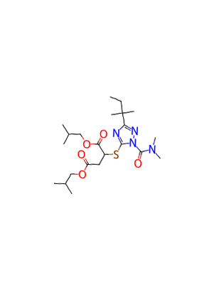 CCC(C)(C)c1nc(SC(CC(=O)OCC(C)C)C(=O)OCC(C)C)n(C(=O)N(C)C)n1